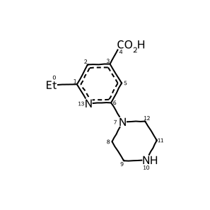 CCc1cc(C(=O)O)cc(N2CCNCC2)n1